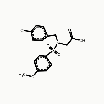 COc1ccc(S(=O)(=O)N(CC(=O)O)Cc2ccc(Cl)cc2)cc1